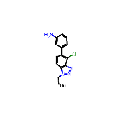 CC(C)(C)Cn1nnc2c(Cl)c(-c3cccc(N)c3)ccc21